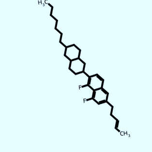 C/C=C/CCc1cc(F)c2c(F)c(C3CCC4CC(CCCCCCC)CCC4C3)ccc2c1